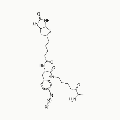 CC(N)C(=O)CCCCNC(=O)C(Cc1ccc(N=[N+]=[N-])cc1)NC(=O)CCCCC1CC2NC(=O)NC2S1